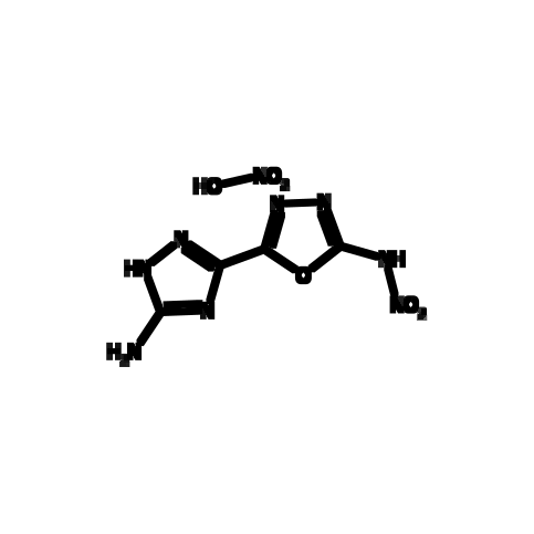 Nc1nc(-c2nnc(N[N+](=O)[O-])o2)n[nH]1.O=[N+]([O-])O